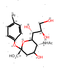 CC(=O)N[C@@H]1C(O)C[C@@](Oc2ccc(C(C)C)cc2)(C(=O)O)OC1[C@H](O)[C@H](O)CO